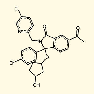 CC(=O)c1ccc2c(c1)C(=O)N(Cc1ccc(Cl)cn1)C2(OC1CCC(O)C1)c1ccc(Cl)cc1